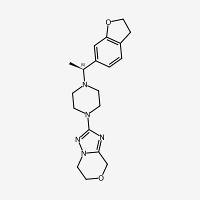 C[C@@H](c1ccc2c(c1)OCC2)N1CCN(c2nc3n(n2)CCOC3)CC1